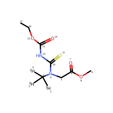 [2H]C([2H])([2H])N(CC(=O)OC)C(=S)NC(=O)OCC